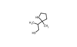 CC(CS)C1(C)CCCN1